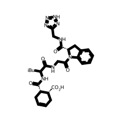 CCC(C)C(NC(=O)[C@H]1CC=CC[C@H]1C(=O)O)C(=O)NCC(=O)N1c2ccccc2C[C@H]1C(=O)NCc1nn[nH]n1